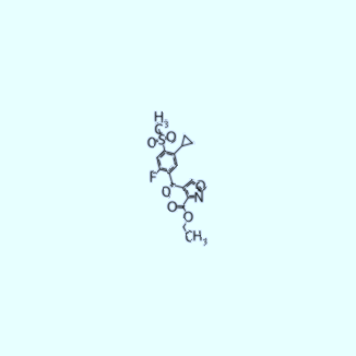 CCOC(=O)c1nocc1C(=O)c1cc(C2CC2)c(S(C)(=O)=O)cc1F